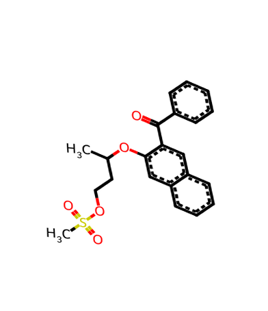 CC(CCOS(C)(=O)=O)Oc1cc2ccccc2cc1C(=O)c1ccccc1